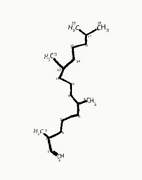 [CH]=CC(C)CCCC(C)CCCC(C)CCCC(C)C